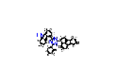 c1ccc(-c2nc(-c3ccc4c5c(cccc35)-c3ccccc3-4)nc(-c3cccc4[nH]c5ccccc5c34)n2)cc1